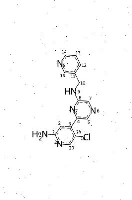 Nc1cc(-c2cncc(NCc3cccnc3)n2)c(Cl)cn1